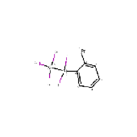 CC(C)c1ccccc1[Si](I)(I)[Si](I)(I)I